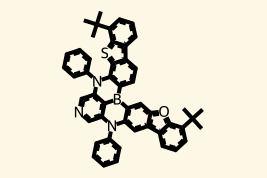 CC(C)(C)c1cccc2c1oc1cc3c(cc12)N(c1ccccc1)c1cncc2c1B3c1ccc3c(sc4c(C(C)(C)C)cccc43)c1N2c1ccccc1